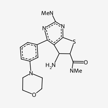 CNC(=O)C1Sc2nc(NC)nc(-c3cccc(N4CCOCC4)c3)c2C1N